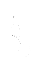 CCCCc1ccc(C(=O)OC(C(C)C)C(C)C)cc1